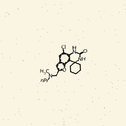 CCCN(C)Cc1cc2cc(Cl)c3c(c2o1)C1(CCCCC1)NC(=O)N3